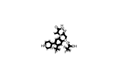 CC1C(=O)NN=C2COc3cc(C(F)(F)F)c(C4CCNCC4)cc3N21.O=C(O)C(F)(F)F